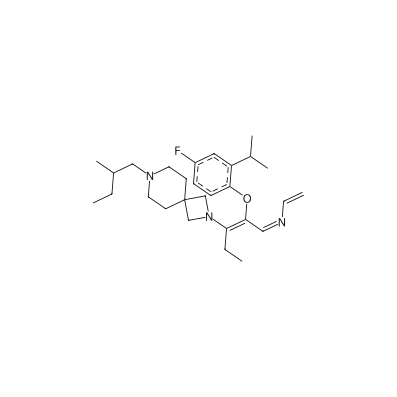 C=C/N=C\C(Oc1ccc(F)cc1C(C)C)=C(/CC)N1CC2(CCN(CC(C)CC)CC2)C1